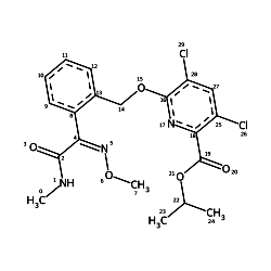 CNC(=O)C(=NOC)c1ccccc1COc1nc(C(=O)OC(C)C)c(Cl)cc1Cl